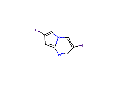 Ic1cnc2cc(I)cn2c1